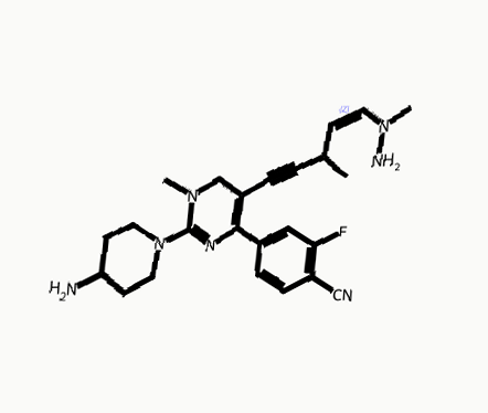 CC(C#CC1=C(c2ccc(C#N)c(F)c2)N=C(N2CCC(N)CC2)N(C)C1)/C=C\N(C)N